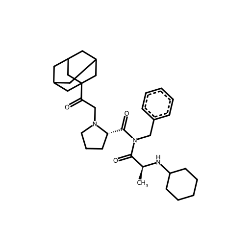 C[C@H](NC1CCCCC1)C(=O)N(Cc1ccccc1)C(=O)[C@@H]1CCCN1CC(=O)C12CC3CC(CC(C3)C1)C2